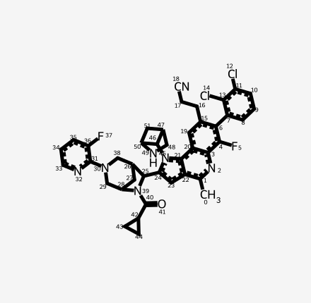 Cc1nc2c(F)c(-c3cccc(Cl)c3Cl)c(CCC#N)cc2c2c1cc(C1C3CC(CN(c4ncccc4F)C3)N1C(=O)C1CC1)n2C1C2CNC1C2